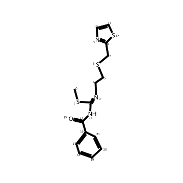 CS/C(=N\CCSCc1nccs1)NC(=O)c1ccccc1